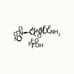 Cc1cc(C#CN2C(=O)COc3ncccc32)cnc1-n1cnn(CC(CN)=C(F)F)c1=O.O=C(O)C(F)(F)F